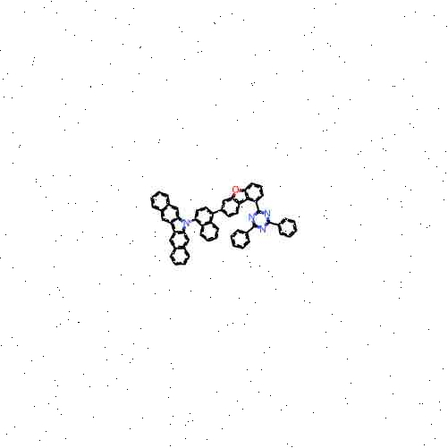 c1ccc(-c2nc(-c3ccccc3)nc(-c3cccc4oc5cc(-c6ccc(-n7c8cc9ccccc9cc8c8cc9ccccc9cc87)c7ccccc67)ccc5c34)n2)cc1